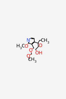 CCC1(c2ccnc(OC)c2COCOC)OC1CO